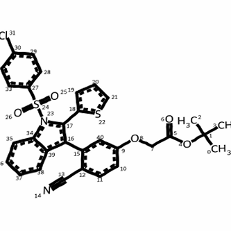 CC(C)(C)OC(=O)COc1ccc(C#N)c(-c2c(-c3cccs3)n(S(=O)(=O)c3ccc(Cl)cc3)c3ccccc23)c1